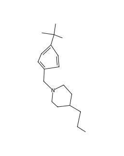 CCCC1CCN(Cc2ccc(C(C)(C)C)cc2)CC1